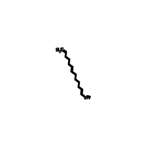 C=CCCCC=CCCCCC=CCCC